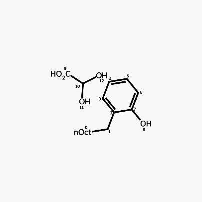 CCCCCCCCCc1ccccc1O.O=C(O)C(O)O